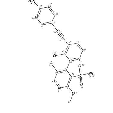 COc1ncc(Cl)c(-c2nccc(C#Cc3cnc(N)nc3)c2Cl)c1S(N)(=O)=O